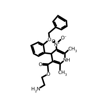 CC1=C(C(=O)OCCN)C(c2ccccc2OCc2ccccc2)C([N+](=O)[O-])=C(C)N1